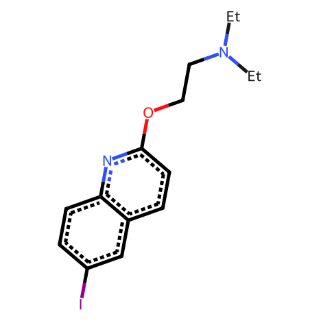 CCN(CC)CCOc1ccc2cc(I)ccc2n1